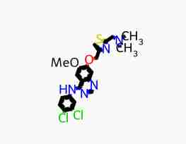 COc1cc2c(Nc3ccc(Cl)c(Cl)c3)ncnc2cc1OCc1csc(CN(C)C)n1